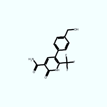 NC(=O)c1cc(-c2ccc(CO)cc2)c(C(F)(F)F)[nH]c1=O